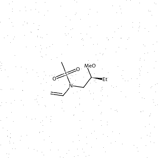 C=CN(C[C@H](CC)OC)S(C)(=O)=O